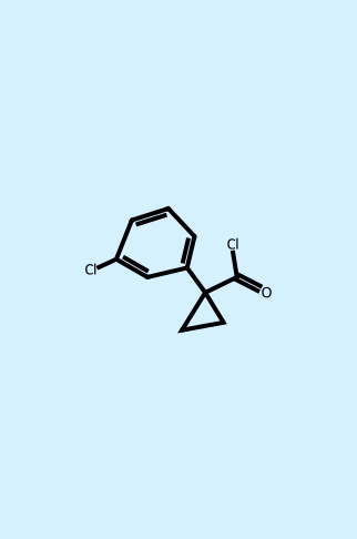 O=C(Cl)C1(c2cccc(Cl)c2)CC1